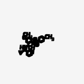 COc1ccc(NS(=O)(=O)c2ccc(C)cc2)c(C(=O)NC(c2cccnc2)C2CC2)c1